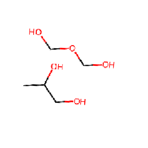 CC(O)CO.OCOCO